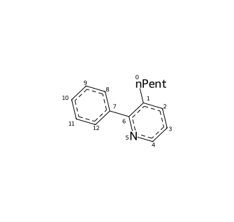 CCCCCc1cccnc1-c1ccccc1